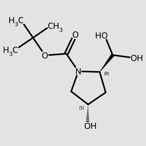 CC(C)(C)OC(=O)N1C[C@@H](O)C[C@@H]1C(O)O